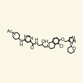 CC(=O)N1CCC(Nc2cc(C(=O)NCC(O)CN3CCc4c(ccc(OCc5cnnn5C5CCCCO5)c4Cl)C3)ncn2)CC1